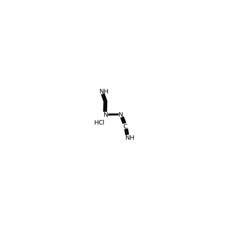 Cl.N=C=NN=C=N